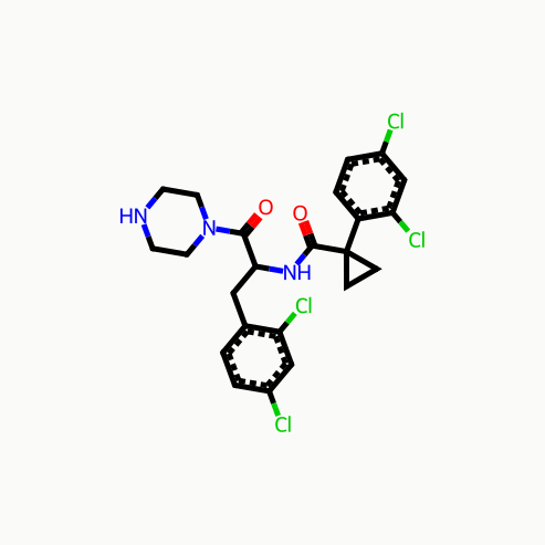 O=C(C(Cc1ccc(Cl)cc1Cl)NC(=O)C1(c2ccc(Cl)cc2Cl)CC1)N1CCNCC1